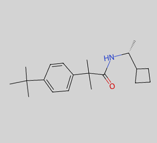 C[C@@H](NC(=O)C(C)(C)c1ccc(C(C)(C)C)cc1)C1CCC1